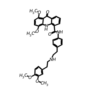 COc1ccc(CCNCCc2ccc(NC(=O)c3cccc4c(=O)c5c(OC)ccc(OC)c5[nH]c34)cc2)cc1OC